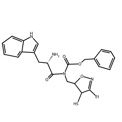 CCC1=NOC(CN(C(=O)OCc2ccccc2)C(=O)[C@@H](N)Cc2c[nH]c3ccccc23)C1S